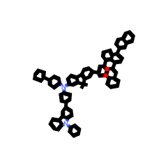 CC1(C)c2cc(-c3cccc(-c4cccc5c(-c6ccc7ccccc7c6)ccc(-c6ccc7ccccc7c6)c45)c3)ccc2-c2ccc(N(c3ccc(-c4ccccc4)cc3)c3ccc(-c4ccc5c(c4)c4ccccc4n5-c4ccccc4)cc3)cc21